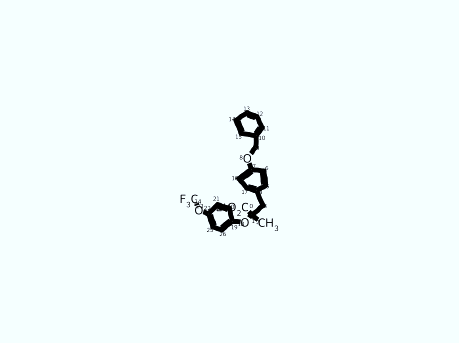 CCOC(=O)C(C)(Cc1ccc(OCc2ccccc2)cc1)Oc1ccc(OC(F)(F)F)cc1